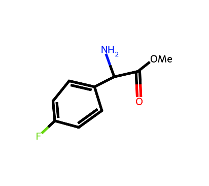 COC(=O)C(N)c1ccc(F)cc1